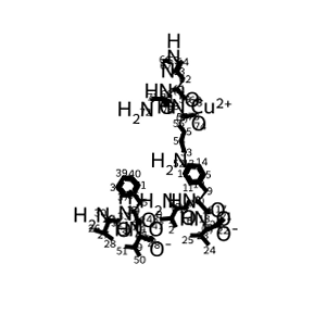 CC(C)[C@H](N)C(=O)N[C@@H](Cc1ccccc1)C(=O)N[C@H](C(=O)[O-])C(C)C.CC(C)[C@H](N)C(=O)N[C@@H](Cc1ccccc1)C(=O)N[C@H](C(=O)[O-])C(C)C.NCCCC[C@H](NC(=O)[C@H](Cc1c[nH]cn1)NC(=O)CN)[C](=O)[Cu+2]